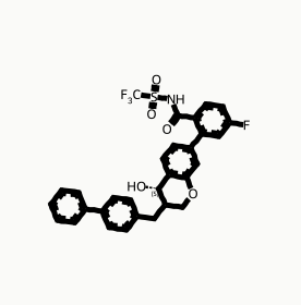 O=C(NS(=O)(=O)C(F)(F)F)c1ccc(F)cc1-c1ccc2c(c1)OCC(Cc1ccc(-c3ccccc3)cc1)[C@@H]2O